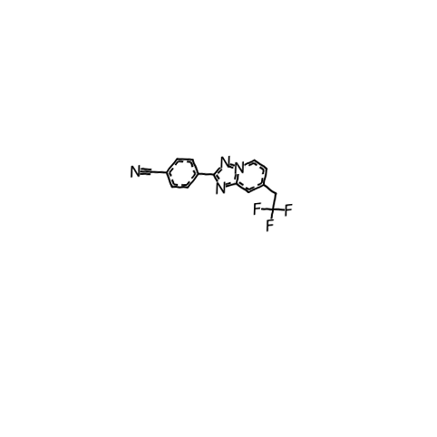 N#Cc1ccc(-c2nc3cc(CC(F)(F)F)ccn3n2)cc1